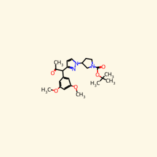 COc1cc(OC)cc(C(C(C)=O)c2ccn(C3CCN(C(=O)OC(C)(C)C)C3)n2)c1